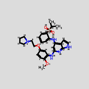 COc1ccc(OCCN2CCCC2)cc1Nc1cc(Nc2ccccc2S(=O)(=O)C(C)C)c2cc[nH]c2n1